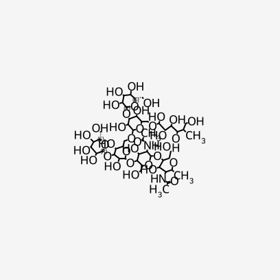 CC(=O)NC1C(C)OC(CO)C(OC2OC(CO)C(OC3OC(COC4OC(COC(O)C(O)C(O)C(O)C(C)CO)C(O)C(O[C@H]5O[C@@H](CO)C(O)C(O)C5O)C4O)C(O)C(O[C@H]4O[C@@H](CO)C(O)C(O)C4O)C3O)C(O)C2NC(C)=O)C1O